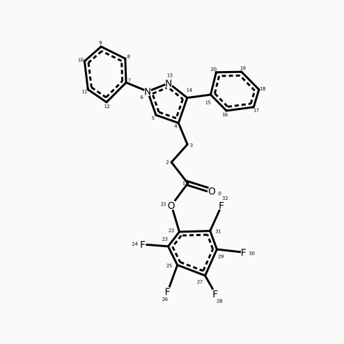 O=C(CCc1cn(-c2ccccc2)nc1-c1ccccc1)Oc1c(F)c(F)c(F)c(F)c1F